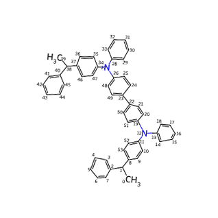 CC(c1ccccc1)c1ccc(N(c2ccccc2)c2ccc(-c3ccc(N(c4ccccc4)c4ccc(C(C)c5ccccc5)cc4)cc3)cc2)cc1